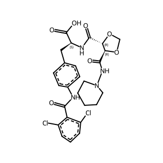 O=C(Nc1ccc(C[C@H](NC(=O)[C@@H]2OCO[C@H]2C(=O)NN2CCCCC2)C(=O)O)cc1)c1c(Cl)cccc1Cl